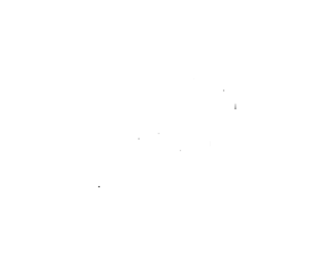 Cc1sc2cc(Oc3ccnc4cc(C(=O)N5CCC[C@H]5CO)sc34)ccc2c1C(=O)NC1CC1